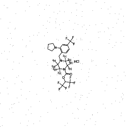 Cl.[2H]C1([2H])N(Cc2ccc(C(F)(F)F)cc2N2CCCC2)C([2H])([2H])C([2H])([2H])N(C(=O)OC(C(F)(F)F)C(F)(F)F)C1([2H])[2H]